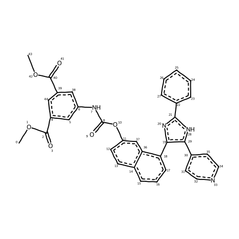 COC(=O)c1cc(NC(=O)Oc2ccc3cccc(-c4nc(-c5ccccc5)[nH]c4-c4ccncc4)c3c2)cc(C(=O)OC)c1